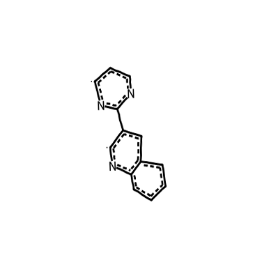 [c]1ccnc(-c2[c]nc3ccccc3c2)n1